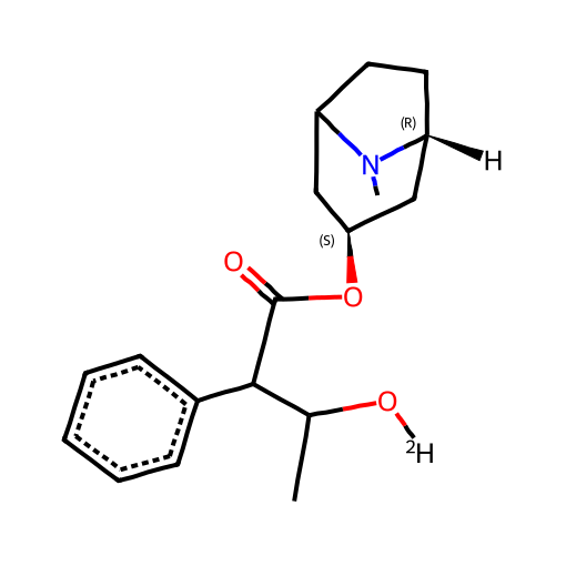 [2H]OC(C)C(C(=O)O[C@H]1CC2CC[C@H](C1)N2C)c1ccccc1